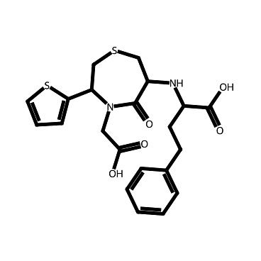 O=C(O)CN1C(=O)C(NC(CCc2ccccc2)C(=O)O)CSCC1c1cccs1